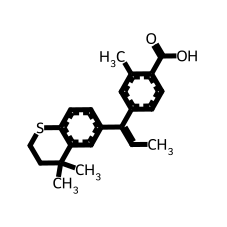 CC=C(c1ccc(C(=O)O)c(C)c1)c1ccc2c(c1)C(C)(C)CCS2